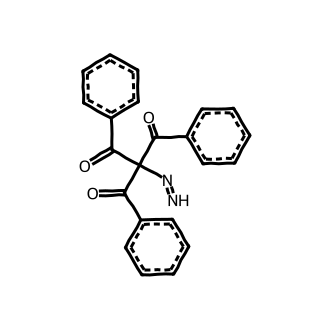 N=NC(C(=O)c1ccccc1)(C(=O)c1ccccc1)C(=O)c1ccccc1